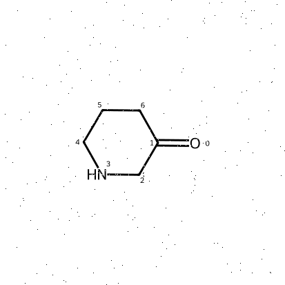 O=C1[C]NCCC1